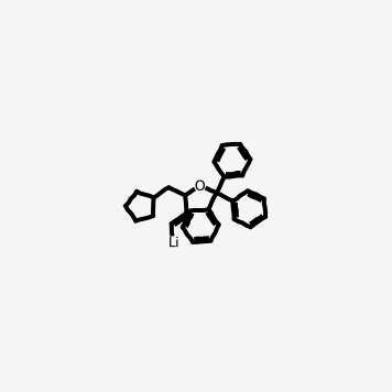 [Li]/[CH]=C/C(CC1CCCC1)OC(c1ccccc1)(c1ccccc1)c1ccccc1